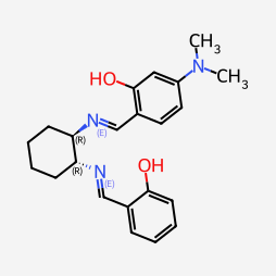 CN(C)c1ccc(/C=N/[C@@H]2CCCC[C@H]2/N=C/c2ccccc2O)c(O)c1